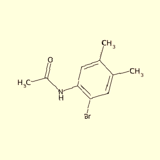 CC(=O)Nc1cc(C)c(C)cc1Br